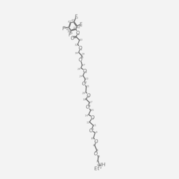 CCNCCOCCOCCOCCOCCOCCOCCOCCOCCOCCOCCC(=O)Oc1c(F)c(F)cc(F)c1F